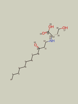 CCCCCCCCCC(=O)CCN[C@@H](CCO)C(=O)O